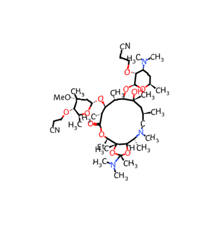 CC[C@H]1OC(=O)[C@H](C)[C@@H](O[C@H]2C[C@@](C)(OC)[C@@H](OCCC#N)[C@H](C)O2)[C@H](C)[C@@H](O[C@@H]2O[C@H](C)C[C@H](N(C)C)[C@H]2OCCC#N)[C@](C)(O)C[C@@H](C)CN(C)[C@H](C)[C@H]2OC(C)(N(C)C)O[C@@]21C